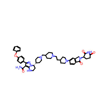 NC(=O)c1c(-c2ccc(Oc3ccccc3)cc2)nn2c1NCC[C@H]2C1CCN(CC2CCN(CCC3CCN(c4ccc5c(c4)CN(C4CCC(=O)NC4=O)C5=O)CC3)CC2)CC1